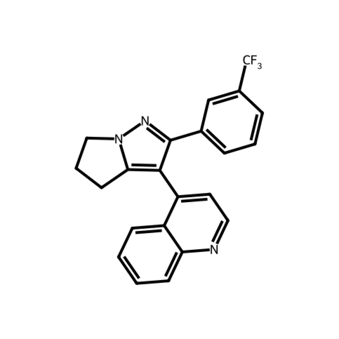 FC(F)(F)c1cccc(-c2nn3c(c2-c2ccnc4ccccc24)CCC3)c1